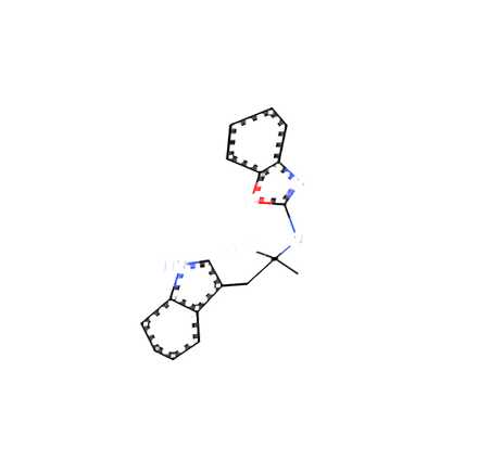 CC(Cc1c[nH]c2ccccc12)(Nc1nc2ccccc2o1)C(=O)O